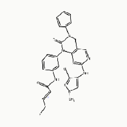 Cn1cc(Nc2ncc3c(n2)N(c2cccc(NC(=O)/C=C/CF)c2)C(=O)N(c2ccccc2)C3)c(Cl)n1